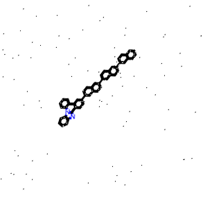 c1ccc2cc(-c3ccc4cc(-c5ccc6cc(-c7ccc8c(c7)c7ccccc7n7c9ccccc9nc87)ccc6c5)ccc4c3)ccc2c1